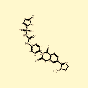 CN1CCN=C1c1ccc2c(c1)CC(=O)N(c1ccc(NC(=O)NS(=O)(=O)c3ccc(Cl)s3)cn1)C2=O